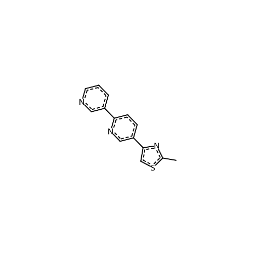 Cc1nc(-c2ccc(-c3cccnc3)nc2)cs1